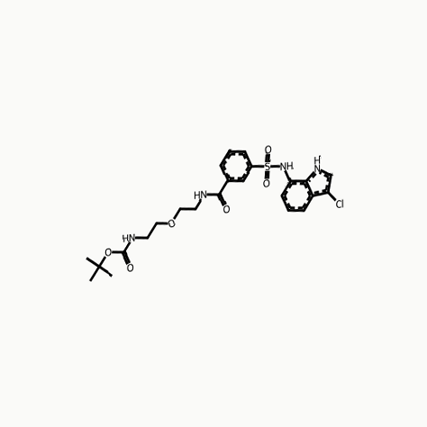 CC(C)(C)OC(=O)NCCOCCNC(=O)c1cccc(S(=O)(=O)Nc2cccc3c(Cl)c[nH]c23)c1